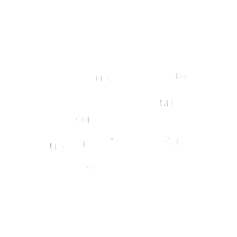 C/C(=C/C(C)(C)C)C(N)(CO)COP(=O)(O)O